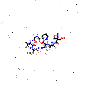 CC/C(C)=C(/NC(=O)[C@H](C)NC(=O)[C@@H]1CCC=NN1C(=O)[C@@H](NC(=O)[C@H](C)NC(=O)C(N)(CO)CO)[C@H](C)N)C(=O)N[C@@H](CO)C(=O)O